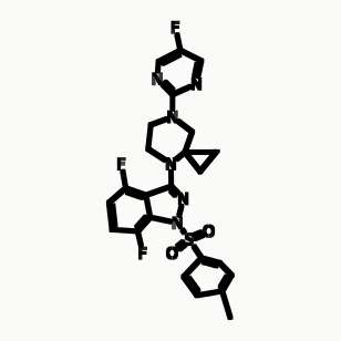 Cc1ccc(S(=O)(=O)n2nc(N3CCN(c4ncc(F)cn4)CC34CC4)c3c(F)ccc(F)c32)cc1